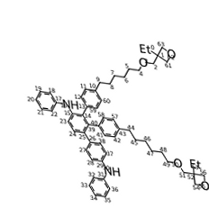 CCC1(COCCCCCCc2ccc(-c3c(Nc4ccccc4)ccc(-c4ccc(Nc5ccccc5)cc4)c3-c3ccc(CCCCCCOCC4(CC)COC4)cc3)cc2)COC1